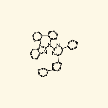 c1ccc(-c2cccc(-c3cc(-c4ccccc4)nc(N4c5ccccc5-c5ccccc5-n5c4nc4ccccc45)n3)c2)cc1